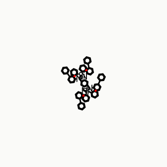 c1ccc(-c2cccc(N3c4cc5c(cc4N(c4cccc(-c6ccccc6)c4)[Si]3(c3ccccc3)c3ccccc3)N(c3cccc(-c4ccccc4)c3)[Si](c3ccccc3)(c3ccccc3)N5c3cccc(-c4ccccc4)c3)c2)cc1